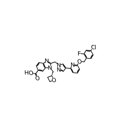 O=C(O)c1ccc2nc(Cn3cc(-c4cccc(OCc5ccc(Cl)cc5F)n4)cn3)n(C[C@@H]3CCO3)c2c1